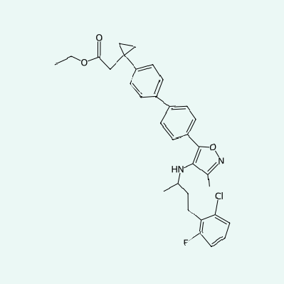 CCOC(=O)CC1(c2ccc(-c3ccc(-c4onc(C)c4NC(C)CCc4c(F)cccc4Cl)cc3)cc2)CC1